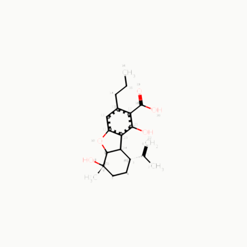 C=C(C)[C@@H]1CC[C@](C)(O)C2Oc3cc(CCC)c(C(=O)O)c(O)c3C21